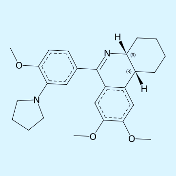 COc1cc2c(cc1OC)[C@H]1CCCC[C@H]1N=C2c1ccc(OC)c(N2CCCC2)c1